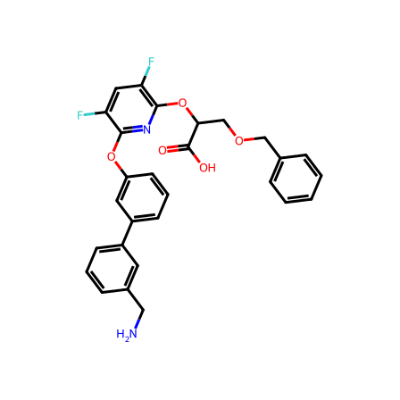 NCc1cccc(-c2cccc(Oc3nc(OC(COCc4ccccc4)C(=O)O)c(F)cc3F)c2)c1